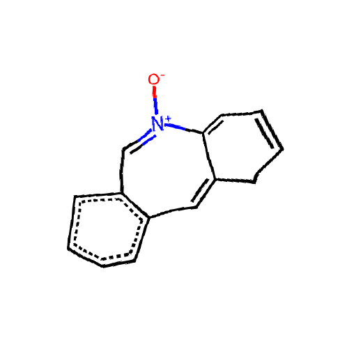 [O-][N+]1=Cc2ccccc2C=C2CC=CC=C21